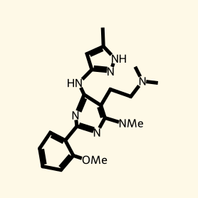 CNc1nc(-c2ccccc2OC)nc(Nc2cc(C)[nH]n2)c1CCN(C)C